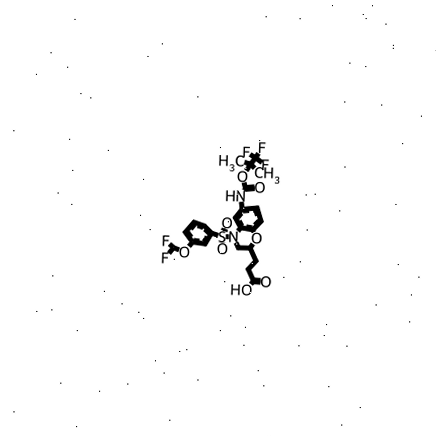 CC(C)(OC(=O)Nc1ccc2c(c1)N(S(=O)(=O)c1cccc(OC(F)F)c1)CC(CCC(=O)O)O2)C(F)(F)F